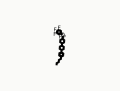 CCCCCc1ccc(C2CCC(C3CCC(C(F)(F)Oc4cc(F)c(F)c(F)c4)CC3)CC2)cc1